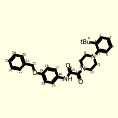 CC(C)(C)c1ccccc1N1CCN(C(=O)C(=O)Nc2ccc(OCc3ccccc3)cc2)CC1